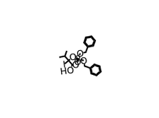 CC(C)C(I)(OP(=O)(OCc1ccccc1)OCc1ccccc1)C(=O)O